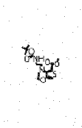 COC(=O)c1scc2c1N(CCNC(=O)OC(C)(C)C)CCO2